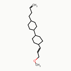 C=CCCC1CCC(C2CCC(C=CCOC)CC2)CC1